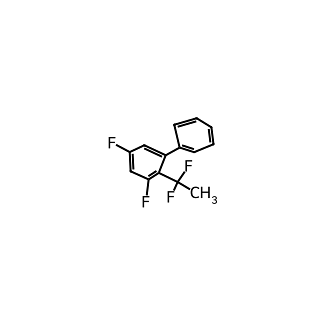 CC(F)(F)c1c(F)cc(F)cc1-c1ccccc1